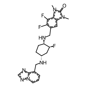 Cn1c(=O)n(C)c2c(F)c(F)c(CN[C@@H]3CC[C@@H](NCc4cccn5ncnc45)C[C@@H]3F)cc21